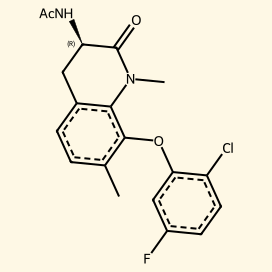 CC(=O)N[C@@H]1Cc2ccc(C)c(Oc3cc(F)ccc3Cl)c2N(C)C1=O